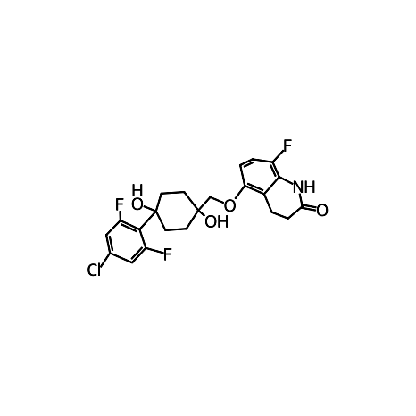 O=C1CCc2c(OCC3(O)CCC(O)(c4c(F)cc(Cl)cc4F)CC3)ccc(F)c2N1